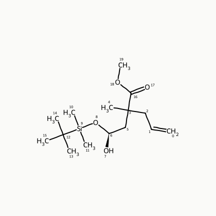 C=CCC(C)(C[C@@H](O)O[Si](C)(C)C(C)(C)C)C(=O)OC